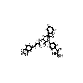 O=C(/C=C/c1ccc2c(c1)OCO2)N[C@@H](Cc1csc2ccccc12)C(=O)Nc1ccc(C(=O)NO)cc1